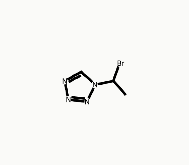 CC(Br)n1cnnn1